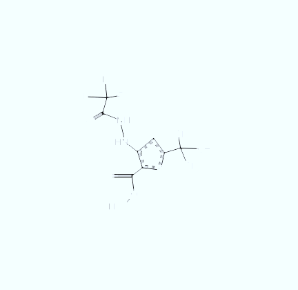 COC(=O)c1sc(C(C)(C)C)cc1NNC(=O)C(F)(F)F